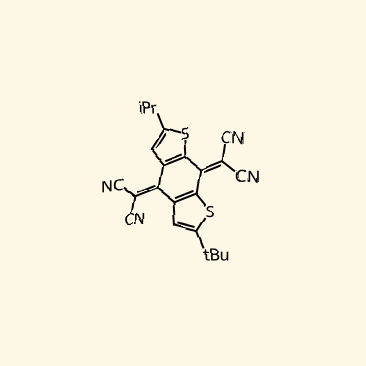 CC(C)c1cc2c(=C(C#N)C#N)c3cc(C(C)(C)C)sc3c(=C(C#N)C#N)c2s1